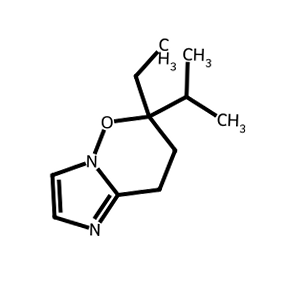 CCC1(C(C)C)CCc2nccn2O1